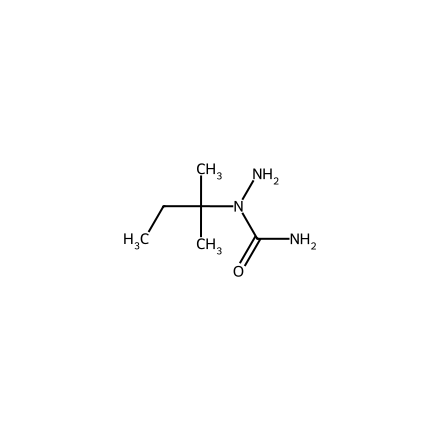 CCC(C)(C)N(N)C(N)=O